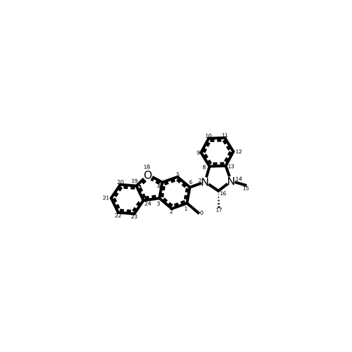 Cc1cc2c(cc1N1c3ccccc3N(C)[C@@H]1C)oc1ccccc12